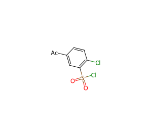 CC(=O)c1ccc(Cl)c(S(=O)(=O)Cl)c1